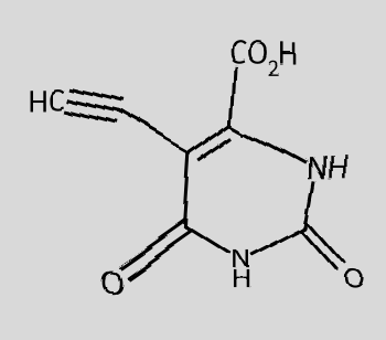 C#Cc1c(C(=O)O)[nH]c(=O)[nH]c1=O